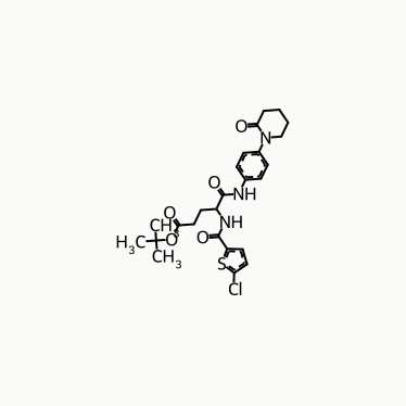 CC(C)(C)OC(=O)CCC(NC(=O)c1ccc(Cl)s1)C(=O)Nc1ccc(N2CCCCC2=O)cc1